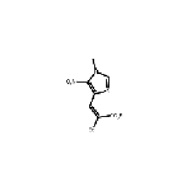 CCOC(=O)/C(=C\c1ncn(C)c1[N+](=O)[O-])CC